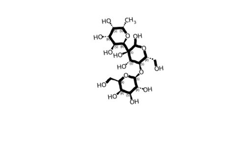 C[C@@H]1O[C@@H]([C@]2(O)C(O)O[C@H](CO)[C@@H](O[C@@H]3O[C@H](CO)[C@H](O)[C@H](O)[C@H]3O)[C@@H]2O)[C@@H](O)[C@H](O)[C@@H]1O